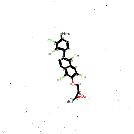 CCCCCCc1ccc(-c2ccc3c(F)c(OCC4OC4CCCC)c(F)cc3c2F)c(F)c1F